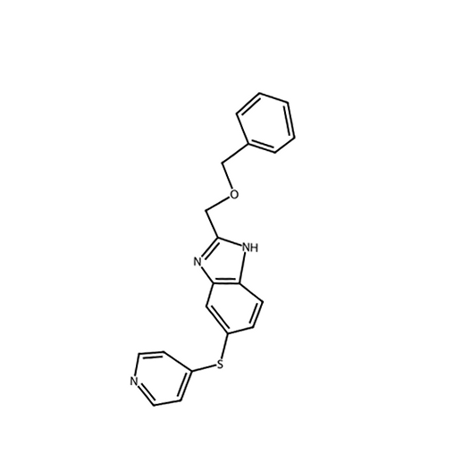 c1ccc(COCc2nc3cc(Sc4ccncc4)ccc3[nH]2)cc1